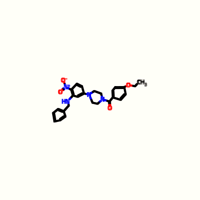 CCOc1ccc(C(=O)N2CCN(c3ccc([N+](=O)[O-])c(NCc4ccccc4)c3)CC2)cc1